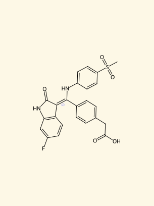 CS(=O)(=O)c1ccc(N/C(=C2\C(=O)Nc3cc(F)ccc32)c2ccc(CC(=O)O)cc2)cc1